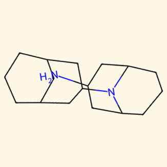 NC1CC2CCCC(C1)N2C1CC2CCCC(C2)C1